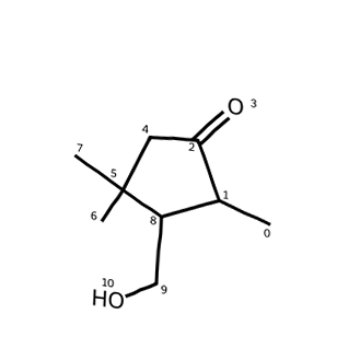 CC1C(=O)CC(C)(C)C1CO